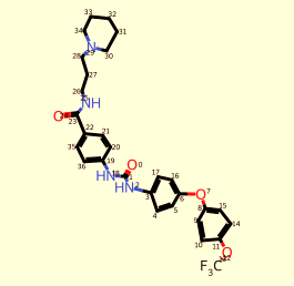 O=C(Nc1ccc(Oc2ccc(OC(F)(F)F)cc2)cc1)Nc1ccc(C(=O)NCCCN2CCCCC2)cc1